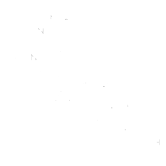 CN(CCOc1ccc(/C=C/CO)cc1)c1ccccn1